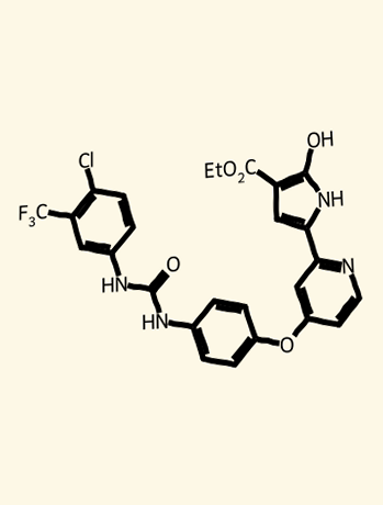 CCOC(=O)c1cc(-c2cc(Oc3ccc(NC(=O)Nc4ccc(Cl)c(C(F)(F)F)c4)cc3)ccn2)[nH]c1O